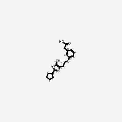 Cc1oc(C2CCCC2)nc1CCOc1cccc(CC(=O)O)c1